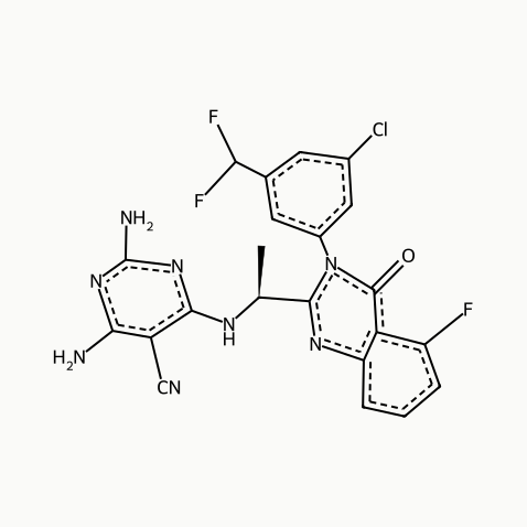 C[C@H](Nc1nc(N)nc(N)c1C#N)c1nc2cccc(F)c2c(=O)n1-c1cc(Cl)cc(C(F)F)c1